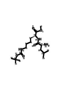 COC(=O)[C@@H](CCCCNC(=O)OC(C)(C)C)NC(=O)[C@H](N)CC(C)C